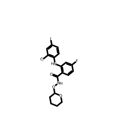 O=C(NOC1CCCCO1)c1ccc(F)cc1Nc1ccc(I)cc1Cl